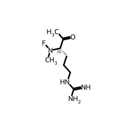 CC(=O)[C@H](CCCNC(=N)N)N(C)F